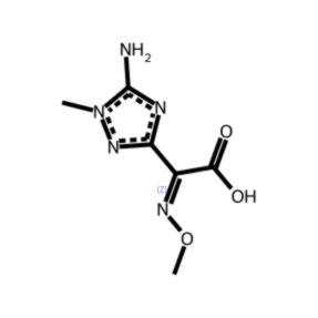 CO/N=C(\C(=O)O)c1nc(N)n(C)n1